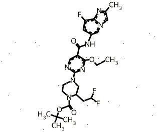 CCOc1nc(N2CCN(C(=O)OC(C)(C)C)C(CC(F)F)C2)ncc1C(=O)Nc1cc(F)c2nc(C)cn2c1